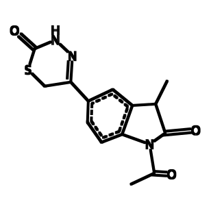 CC(=O)N1C(=O)C(C)c2cc(C3=NNC(=O)SC3)ccc21